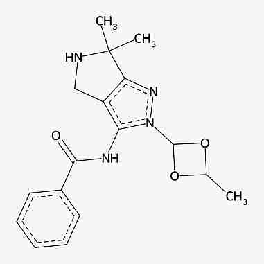 CC1OC(n2nc3c(c2NC(=O)c2ccccc2)CNC3(C)C)O1